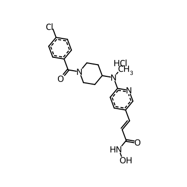 CN(c1ccc(/C=C/C(=O)NO)cn1)C1CCN(C(=O)c2ccc(Cl)cc2)CC1.Cl